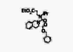 CCOC(=O)CCN(C(=O)N1Cc2ccccc2C[C@H]1C(=O)OCc1ccccc1)C(C)C